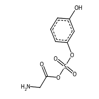 NCC(=O)OS(=O)(=O)Oc1cccc(O)c1